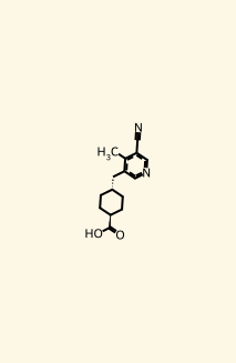 Cc1c(C#N)cncc1C[C@H]1CC[C@H](C(=O)O)CC1